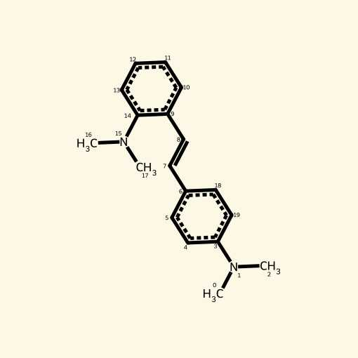 CN(C)c1ccc(C=Cc2ccccc2N(C)C)cc1